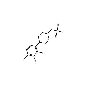 Cc1ccc(C2CCC(CC(C)(F)F)CC2)c(F)c1F